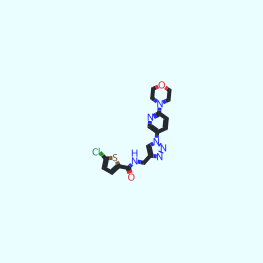 O=C(NCc1cn(-c2ccc(N3CCOCC3)nc2)nn1)c1ccc(Cl)s1